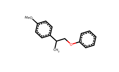 COc1ccc(C(C)COc2ccccc2)cc1